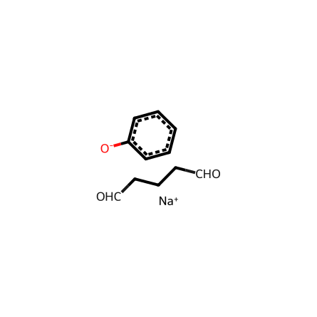 O=CCCCC=O.[Na+].[O-]c1ccccc1